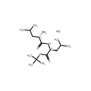 CC(C)C[C@H](NC(=O)[C@@H](N)CC(C)C)C(=O)OC(C)(C)C.Cl